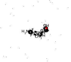 CC1CN(c2c(F)cc(N)cc2F)CCN1c1nccc(C(=O)NC2C3CC4CC2CC(O)(C4)C3)n1